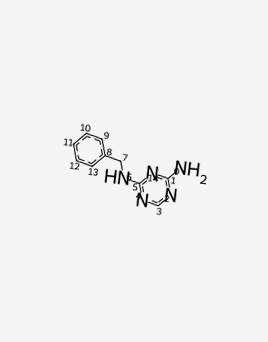 Nc1ncnc(NCc2ccccc2)n1